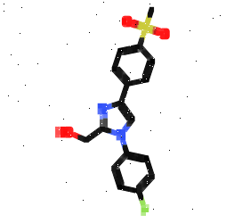 CS(=O)(=O)c1ccc(-c2cn(-c3ccc(F)cc3)c(CO)n2)cc1